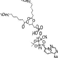 CCCCCCCCCCCCCCCC(=O)OCC(COP(=O)(O)OC[C@@]1(C#N)O[C@@H](c2ccc3c(N)ncnn23)[C@@H]2OC(C)(C)O[C@@H]21)OC(=O)CCCCCCCCCCCCCCC